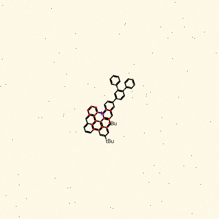 CC(C)(C)c1cc(-c2cccc3cccc(-c4ccccc4N(c4ccc(-c5ccc(-c6ccccc6)c(-c6ccccc6)c5)cc4)c4ccccc4-c4ccccc4-c4ccccc4-c4ccccc4)c23)cc(C(C)(C)C)c1